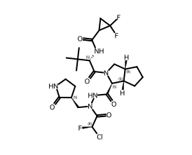 CC(C)(C)[C@H](NC(=O)C1CC1(F)F)C(=O)N1C[C@@H]2CCC[C@@H]2[C@H]1C(=O)NN(C[C@@H]1CCNC1=O)C(=O)[C@H](F)Cl